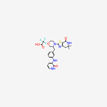 CC1(C)Cc2nc(N3CCOCC3Cc3cccc(Nc4ccc[nH]c4=O)c3)sc2C(=O)N1.O=C(O)C(F)(F)F